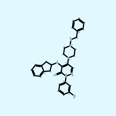 O=c1c(OC2Cc3ccccc3C2)c(N2CCN(SCc3ccccc3)CC2)cnn1-c1cccc(Cl)c1